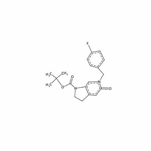 CC(C)(C)OC(=O)N1CCc2cc(=O)n(Cc3ccc(F)cc3)cc21